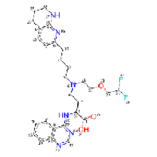 O=C(O)[C@H](CCN(CCCCc1ccc2c(n1)NCCC2)CCOCC(F)F)Nc1ncnc2ccccc12